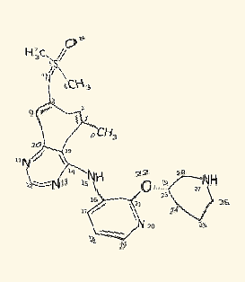 Cc1cc(N=S(C)(C)=O)cc2ncnc(Nc3cccnc3O[C@H]3CCCNC3)c12